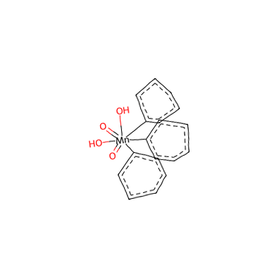 [O]=[Mn](=[O])([OH])([OH])([c]1ccccc1)([c]1ccccc1)[c]1ccccc1